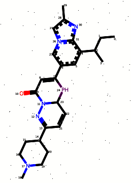 CCC(C)c1cc(C2=CC(=O)N3N=C(C4CCN(C)CC4)C=CC3P2)cn2cc(C)nc12